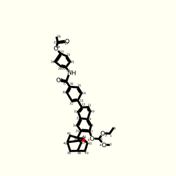 CCOC(OC)Oc1cc2ccc(-c3ccc(C(=O)Nc4ccc(OC(C)=O)cc4)cc3)cc2cc1C12CC3CC(CC(C3)C1)C2